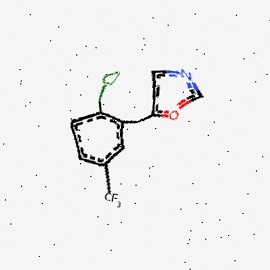 FC(F)(F)c1ccc(Cl)c(-c2cnco2)c1